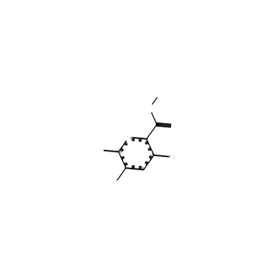 Bc1nc(C(=O)OC)c(N)cc1Cl